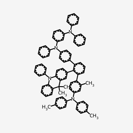 Cc1ccc(N(c2ccc(C)cc2)c2ccc(-c3cccc(-c4ccc(N(c5ccccc5)c5cccc(N(c6ccccc6)c6ccccc6)c5)cc4)c3-c3ccc4c(c3)C(C)(C)c3ccccc3N4c3ccccc3)c(C)c2)cc1